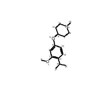 COc1cc(OC2CCN(C)CC2)ccc1C(C)C